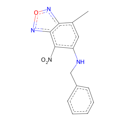 Cc1cc(NCc2ccccc2)c([N+](=O)[O-])c2nonc12